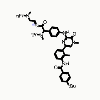 CCCN(C)C/C=N/C(=O)C(c1ccc(Nc2nc(-c3cccc(NC(=O)c4ccc(C(C)(C)C)cc4)c3C)cn(C)c2=O)cc1)N(C)C(C)C